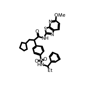 CCC(NS(=O)(=O)c1ccc(C(CC2CCCC2)C(=O)Nc2nc3ccc(OC)nc3s2)cc1)c1ccccc1